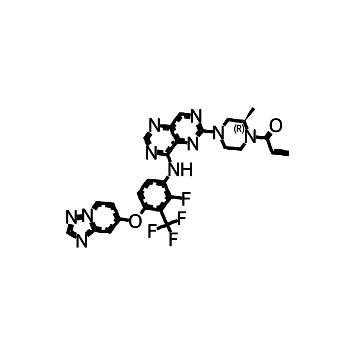 C=CC(=O)N1CCN(c2ncc3ncnc(Nc4ccc(Oc5ccn6ncnc6c5)c(C(F)(F)F)c4F)c3n2)C[C@H]1C